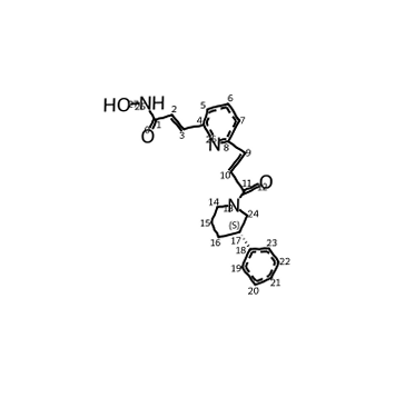 O=C(C=Cc1cccc(C=CC(=O)N2CCC[C@@H](c3ccccc3)C2)n1)NO